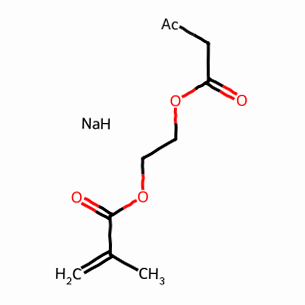 C=C(C)C(=O)OCCOC(=O)CC(C)=O.[NaH]